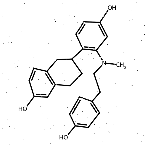 CN(CCc1ccc(O)cc1)c1cc(O)ccc1C1CCc2cc(O)ccc2C1